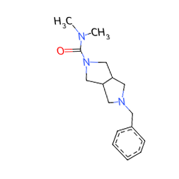 CN(C)C(=O)N1CC2CN(Cc3ccccc3)CC2C1